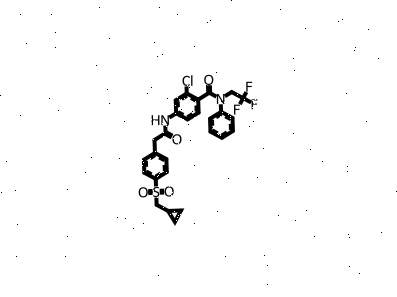 O=C(Cc1ccc(S(=O)(=O)CC2CC2)cc1)Nc1ccc(C(=O)N(CC(F)(F)F)c2ccccc2)c(Cl)c1